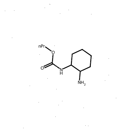 CCCOC(=O)NC1CCCCC1N